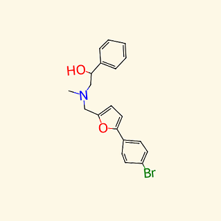 CN(Cc1ccc(-c2ccc(Br)cc2)o1)CC(O)c1ccccc1